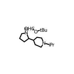 CC(C)(C)OC=O.CC(C)N1CCC(C2CCCN2)CC1